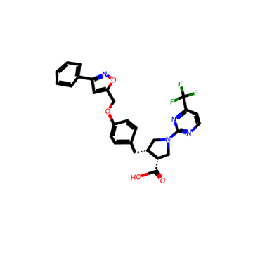 O=C(O)[C@H]1CN(c2nccc(C(F)(F)F)n2)C[C@H]1Cc1ccc(OCc2cc(-c3ccccc3)no2)cc1